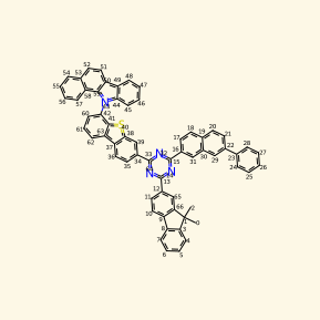 CC1(C)c2ccccc2-c2ccc(-c3nc(-c4ccc5ccc(-c6ccccc6)cc5c4)nc(-c4ccc5c(c4)sc4c(-n6c7ccccc7c7ccc8ccccc8c76)cccc45)n3)cc21